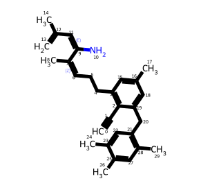 C#Cc1c(CC/C=C(C)\C(N)=C/C(=C)C)cc(C)cc1Cc1cc(C)c(C)cc1C